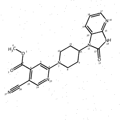 COC(=O)c1cc(N2CCC(n3c(=O)[nH]c4ncccc43)CC2)ncc1C#N